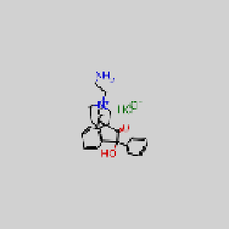 Cl.NCC[N+]12CCC(CC1)C(C(=O)C(O)(c1ccccc1)c1ccccc1)C2.[Cl-]